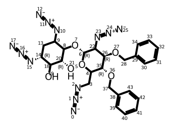 [N-]=[N+]=NCC1O[C@H](OC2C(N=[N+]=[N-])C[C@@H](N=[N+]=[N-])C(O)[C@H]2O)C(N=[N+]=[N-])[C@@H](OCc2ccccc2)[C@@H]1OCc1ccccc1